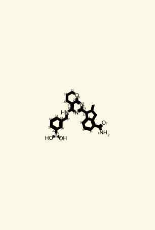 CC1Cc2c(C(N)=O)cccc2C1c1nc(NCc2cccc(B(O)O)c2)c2c(n1)OCCC2